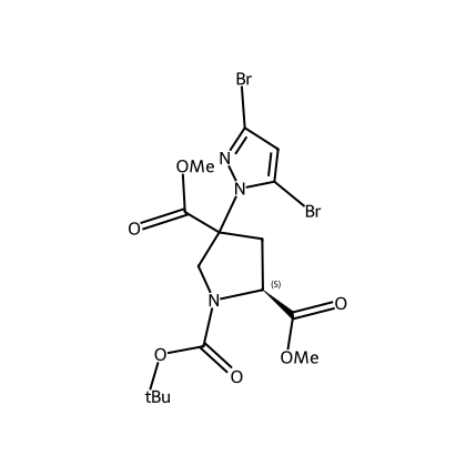 COC(=O)[C@@H]1CC(C(=O)OC)(n2nc(Br)cc2Br)CN1C(=O)OC(C)(C)C